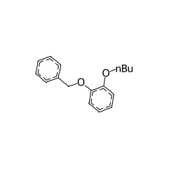 CCCCOc1ccccc1OCc1ccccc1